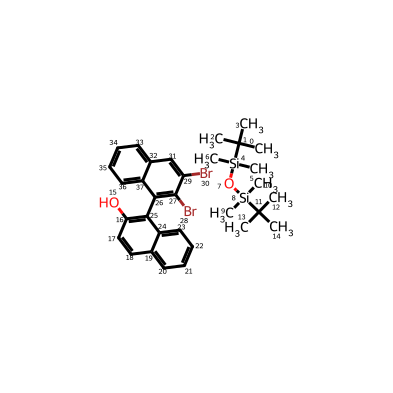 CC(C)(C)[Si](C)(C)O[Si](C)(C)C(C)(C)C.Oc1ccc2ccccc2c1-c1c(Br)c(Br)cc2ccccc12